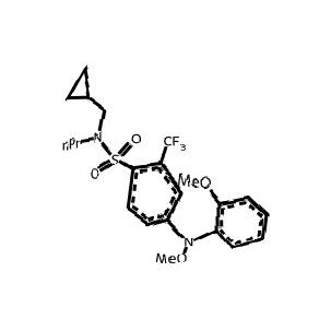 CCCN(CC1CC1)S(=O)(=O)c1ccc(N(OC)c2ccccc2OC)cc1C(F)(F)F